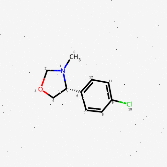 CN1COC[C@H]1c1ccc(Cl)cc1